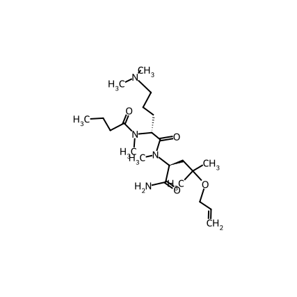 C=CCOC(C)(C)C[C@@H](C(N)=O)N(C)C(=O)[C@@H](CCCN(C)C)N(C)C(=O)CCC